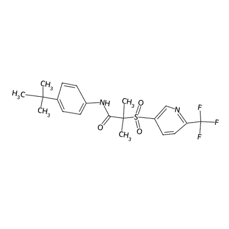 CC(C)(C)c1ccc(NC(=O)C(C)(C)S(=O)(=O)c2ccc(C(F)(F)F)nc2)cc1